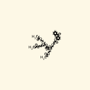 C=CC(=O)OCCOCC(COCCOC(=O)C=C)Oc1cscc1OC(COCCOC(=O)C=C)COCCC(=O)Oc1cccc2c(=O)c3ccccc3sc12